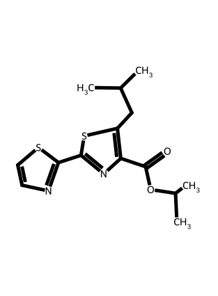 CC(C)Cc1sc(-c2nccs2)nc1C(=O)OC(C)C